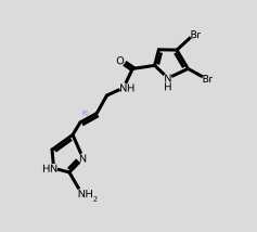 Nc1nc(/C=C/CNC(=O)c2cc(Br)c(Br)[nH]2)c[nH]1